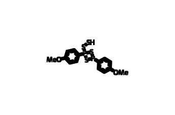 COc1ccc(P2S[P](SS)(c3ccc(OC)cc3)S2)cc1